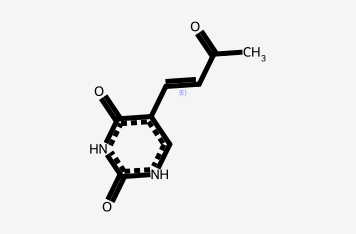 CC(=O)/C=C/c1c[nH]c(=O)[nH]c1=O